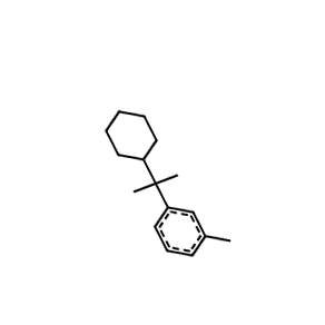 Cc1cccc(C(C)(C)C2CCCCC2)c1